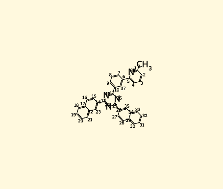 Cc1cccc(-c2cccc(-c3nc(-c4ccc5ccccc5c4)nc(-c4ccc5ccccc5c4)n3)c2)n1